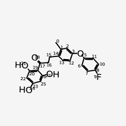 Cc1cc(Oc2ccc(F)cc2)ccc1CCC(=O)c1c(O)cc(O)cc1O